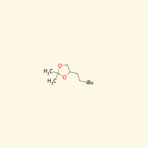 CCC(C)CCC1COC(C)(C)O1